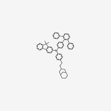 CC1(C)c2ccccc2-c2ccc(N(c3ccc(CCC4CC5CCCC(C5)C4)cc3)c3ccc(-c4c(-c5ccccc5)cccc4-c4ccccc4)cc3)cc21